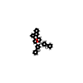 c1ccc(-c2cccc3c2c(-c2ccc(N(c4ccc5c(c4)oc4ccccc45)c4ccc5c(c4)oc4ccccc45)cc2)cc2ccccc23)cc1